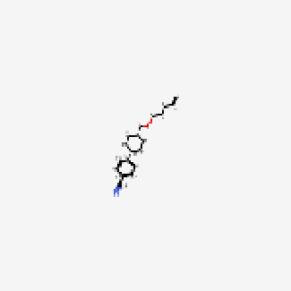 C=CCCCOC[C@H]1CC[C@H](c2ccc(C#N)cc2)CC1